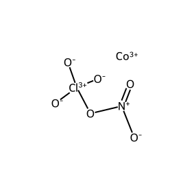 O=[N+]([O-])O[Cl+3]([O-])([O-])[O-].[Co+3]